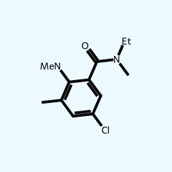 CCN(C)C(=O)c1cc(Cl)cc(C)c1NC